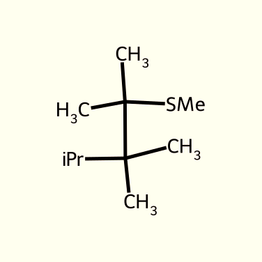 CSC(C)(C)C(C)(C)C(C)C